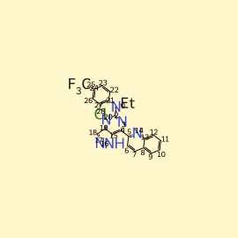 CCN(c1nc(-c2ccc3ccccc3n2)c2[nH]ncc2n1)c1ccc(C(F)(F)F)cc1Cl